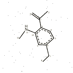 C=C(C)c1ccc(CC)cc1NC